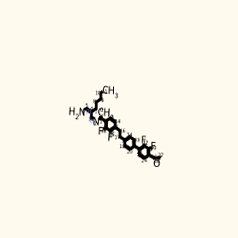 C=C(/N=C\C(=C/N)CCCCC)c1ccc(CCc2ccc(-c3ccc(C4CO4)c(F)c3F)cc2)c(F)c1F